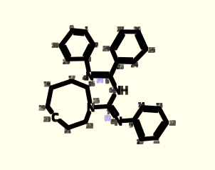 c1ccc(/N=C(/N/C(=N\c2ccccc2)N2CCCCCCC2)c2ccccc2)cc1